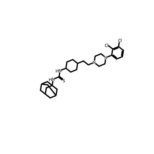 S=C(NC1CCC(CCN2CCN(c3cccc(Cl)c3Cl)CC2)CC1)NC12CC3CC(CC(C3)C1)C2